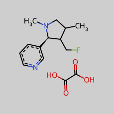 CC1CN(C)[C@H](c2cccnc2)C1CF.O=C(O)C(=O)O